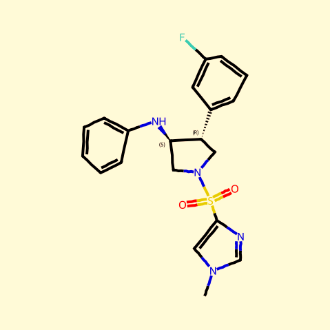 Cn1cnc(S(=O)(=O)N2C[C@@H](Nc3ccccc3)[C@H](c3cccc(F)c3)C2)c1